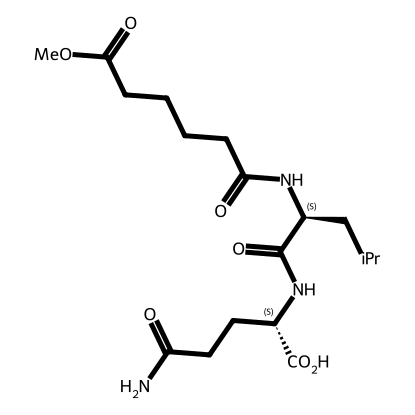 COC(=O)CCCCC(=O)N[C@@H](CC(C)C)C(=O)N[C@@H](CCC(N)=O)C(=O)O